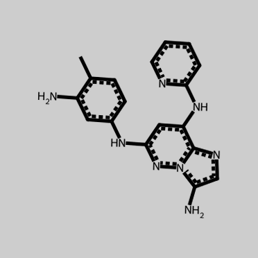 Cc1ccc(Nc2cc(Nc3ccccn3)c3ncc(N)n3n2)cc1N